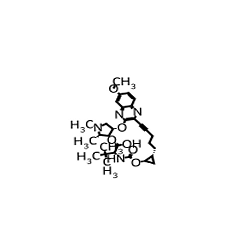 COc1ccc2nc(C#CCCC[C@@H]3C[C@H]3OC(=O)N[C@H](C(=O)O)C(C)(C)C)c(O[C@@H]3C[C@@H](C)N(C)C3)nc2c1